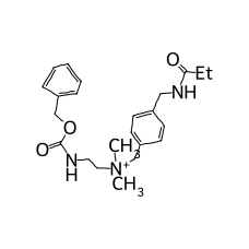 CCC(=O)NCc1ccc(C[N+](C)(C)CCNC(=O)OCc2ccccc2)cc1